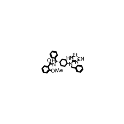 CCNC(=NC#N)N(Cc1ccccc1)[C@H]1CC[C@@H](C(NC(=O)c2ccccc2OC)c2ccccc2)CC1